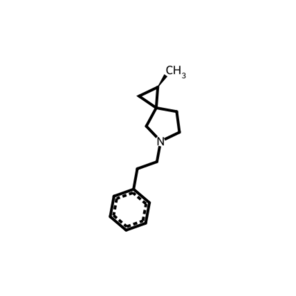 C[C@@H]1CC12CCN(CCc1ccccc1)C2